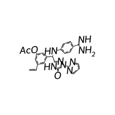 C=Cc1cc(OC(C)=O)cc([C@H](Nc2ccc(C(=N)N)cc2)c2nn(-c3ncccn3)c(=O)[nH]2)c1